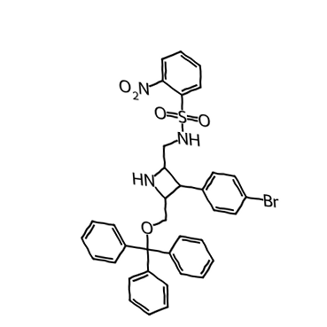 O=[N+]([O-])c1ccccc1S(=O)(=O)NCC1NC(COC(c2ccccc2)(c2ccccc2)c2ccccc2)C1c1ccc(Br)cc1